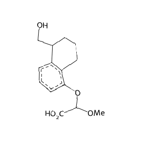 COC(Oc1cccc2c1CCCC2CO)C(=O)O